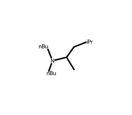 CCCCN(CCCC)C(C)CC(C)C